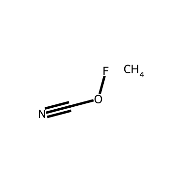 C.N#COF